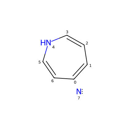 C1=CC=CNC=C1.[N]